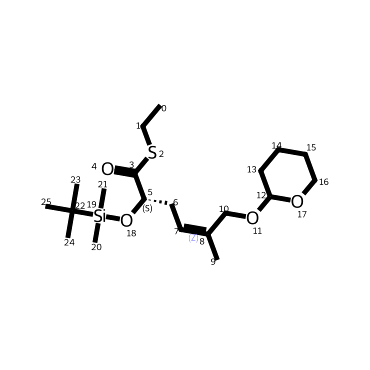 CCSC(=O)[C@H](C/C=C(/C)COC1CCCCO1)O[Si](C)(C)C(C)(C)C